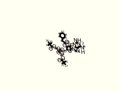 CNc1nc(N)nc2c1ncn2[C@@H]1O[C@H](COP(=O)(OCOC(=O)C(C)(C)C)OCOC(=O)C(C)(C)C)[C@@H](OC(=O)CC2CCCCC2)[C@@]1(C)F